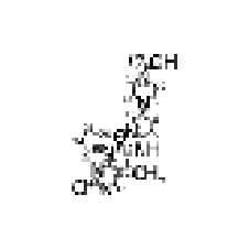 Cc1c(Nc2ccc(N3CCN(C(=O)O)CC3)cn2)c(=O)n(C2CCCC2)c2nc(Cl)ncc12